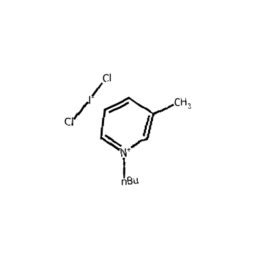 CCCC[n+]1cccc(C)c1.Cl[I-]Cl